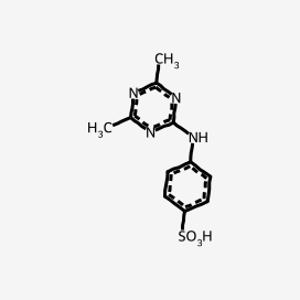 Cc1nc(C)nc(Nc2ccc(S(=O)(=O)O)cc2)n1